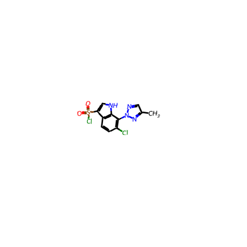 Cc1cnn(-c2c(Cl)ccc3c(S(=O)(=O)Cl)c[nH]c23)n1